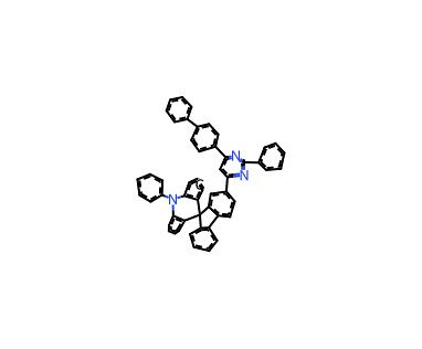 c1ccc(-c2ccc(-c3cc(-c4ccc5c(c4)C4(c6ccccc6-5)c5ccccc5N(c5ccccc5)c5ccccc54)nc(-c4ccccc4)n3)cc2)cc1